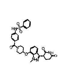 Cn1nc(C2CCC(=O)NC2=O)c2cccc(OC3CCN(C(=O)c4ccc(NS(=O)(=O)c5ccccc5)cc4)CC3)c21